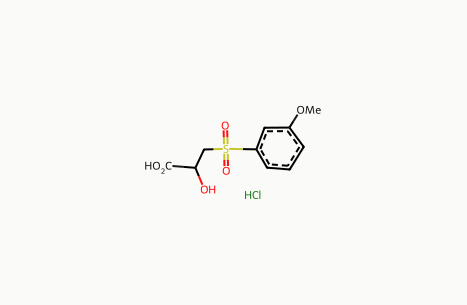 COc1cccc(S(=O)(=O)CC(O)C(=O)O)c1.Cl